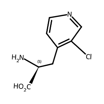 N[C@@H](Cc1ccncc1Cl)C(=O)O